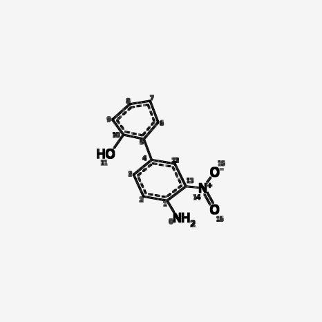 Nc1ccc(-c2ccccc2O)cc1[N+](=O)[O-]